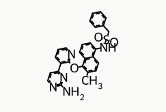 Cc1ccc2c(NS(=O)(=O)Cc3ccccc3)cccc2c1Oc1ncccc1-c1ccnc(N)n1